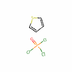 O=P(Cl)(Cl)Cl.c1ccsc1